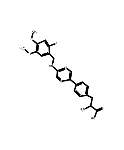 COc1cc(F)c(CNc2cnc(-c3ccc(CC(N)C(=O)O)cc3)cn2)cc1OC